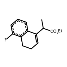 CCOC(=O)C(C)C1=CCCc2c(F)cccc21